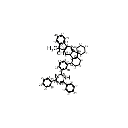 CC1(C)C2=C(C=C3C(C2)C2=C(CCCC2c2cccc(C4N=C(c5ccccc5)N=C(c5ccccc5)N4)c2)C32CCCCC2)c2ccccc21